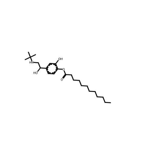 CCCCCCCCCCCC(=O)Oc1ccc(C(O)CNC(C)(C)C)cc1O